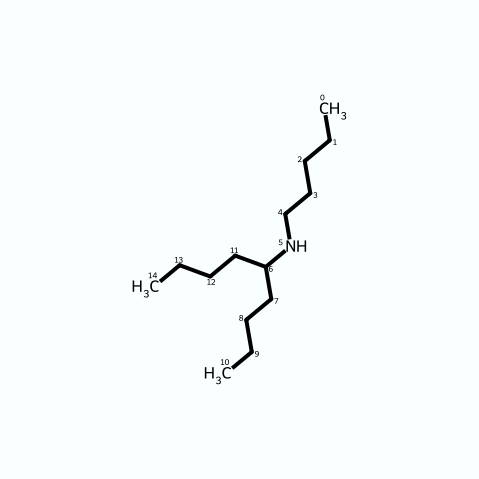 CCCCCNC(CCCC)CCCC